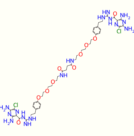 N=C(NCCc1ccc(OCCOCCOCCNC(=O)CCC(=O)NCCOCCOCCOc2ccc(CCNC(=N)NC(=O)c3nc(Cl)c(N)nc3N)cc2)cc1)NC(=O)c1nc(Cl)c(N)nc1N